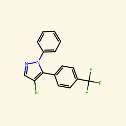 FC(F)(F)c1ccc(-c2c(Br)cnn2-c2ccccc2)cc1